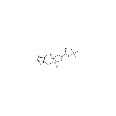 Cc1nccn1CC1[C@H]2CN(C(=O)OC(C)(C)C)C[C@@H]12